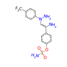 N/C(=C\N(N)c1ccc(C(F)(F)F)cc1)c1ccc(OS(N)(=O)=O)cc1